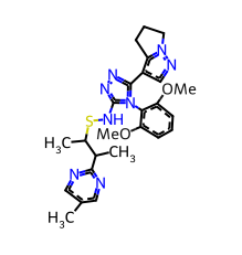 COc1cccc(OC)c1-n1c(NSC(C)C(C)c2ncc(C)cn2)nnc1-c1cnn2c1CCC2